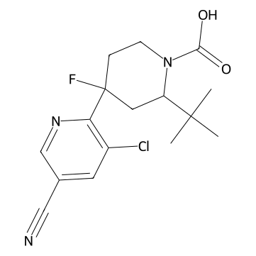 CC(C)(C)C1CC(F)(c2ncc(C#N)cc2Cl)CCN1C(=O)O